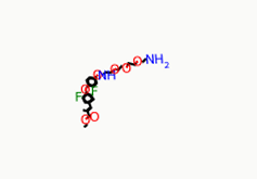 CCOC(=O)/C(C)=C/c1cc(F)c(Oc2ccc(ONCCOCCOCCOCCN)cc2)c(F)c1